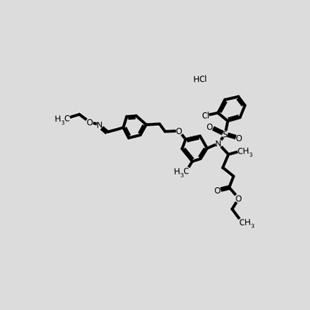 CCON=Cc1ccc(CCOc2cc(C)cc(N(C(C)CCC(=O)OCC)S(=O)(=O)c3ccccc3Cl)c2)cc1.Cl